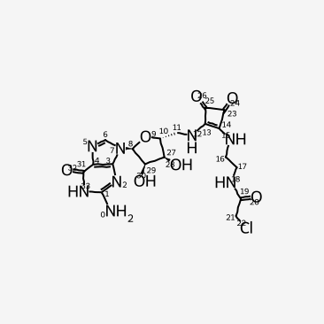 Nc1nc2c(ncn2[C@H]2O[C@H](CNc3c(NCCNC(=O)CCl)c(=O)c3=O)[C@@H](O)[C@H]2O)c(=O)[nH]1